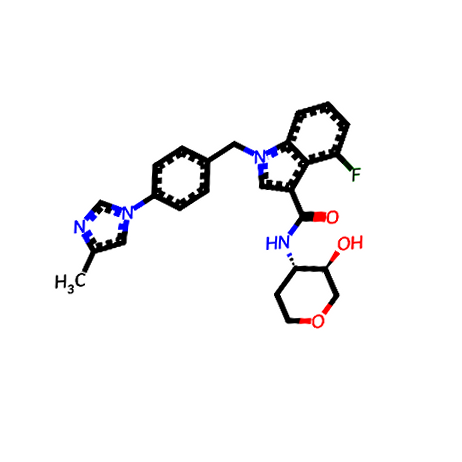 Cc1cn(-c2ccc(Cn3cc(C(=O)N[C@H]4CCOC[C@@H]4O)c4c(F)cccc43)cc2)cn1